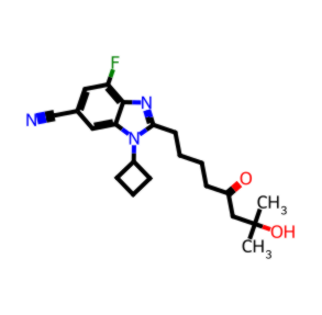 CC(C)(O)CC(=O)CCCCc1nc2c(F)cc(C#N)cc2n1C1CCC1